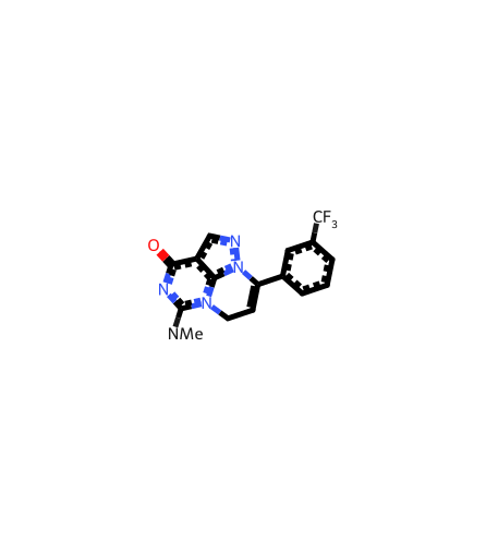 CNc1nc(=O)c2cnn3c2n1CC=C3c1cccc(C(F)(F)F)c1